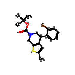 Cc1cc2c(s1)CN(C(=O)OC(C)(C)C)CC2c1ccccc1Br